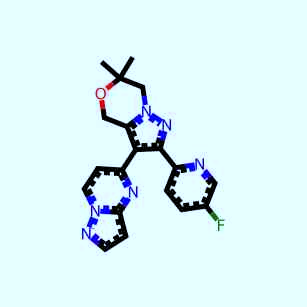 CC1(C)Cn2nc(-c3ccc(F)cn3)c(-c3ccn4nccc4n3)c2CO1